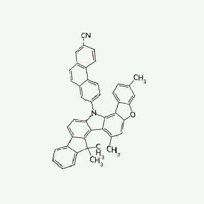 Cc1ccc2c(c1)oc1cc(C)c3c4c5c(ccc4n(-c4ccc6c(ccc7cc(C#N)ccc76)c4)c3c12)-c1ccccc1C5(C)C